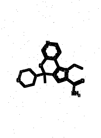 CCn1c(C(N)=O)cc2c1-c1ccncc1OC2(C)C1CCOCC1